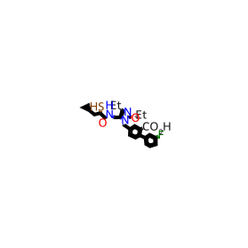 CCOc1nc(CC)c(CNC(=O)C(S)CC2CC2)n1Cc1ccc(-c2cccc(F)c2)c(C(=O)O)c1